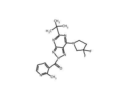 Cc1ncccc1C(=O)n1nc2nc(C(C)(C)C)nc(N3CCC(F)(F)C3)c2n1